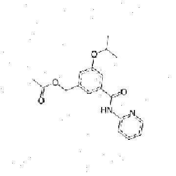 CC(=O)OCc1cc(OC(C)C)cc(C(=O)Nc2ccccn2)c1